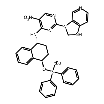 CC(C)(C)[Si](O[C@@H]1CC[C@@H](Nc2nc(N3CNc4ccncc43)ncc2[N+](=O)[O-])c2ccccc21)(c1ccccc1)c1ccccc1